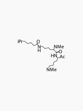 CNCCCCC(NC(=O)C(CCCCNC(=O)CCCCC(C)C)NC)C(C)=O